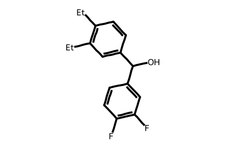 CCc1ccc(C(O)c2ccc(F)c(F)c2)cc1CC